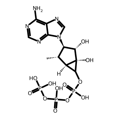 C[C@@H]1[C@@H](n2cnc3c(N)ncnc32)[C@H](O)[C@@]2(O)C(OP(=O)(O)OP(=O)(O)OP(=O)(O)O)[C@@H]12